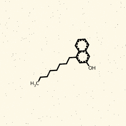 CCCCCCCCc1cc(O)cc2ccccc12